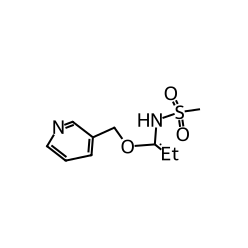 CC[C](NS(C)(=O)=O)OCc1cccnc1